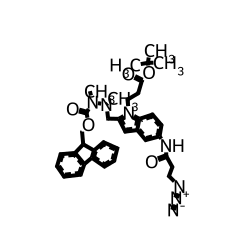 CN(Cc1cc2cc(NC(=O)CCN=[N+]=[N-])ccc2n1CCC(=O)OC(C)(C)C)N(C)C(=O)OCC1c2ccccc2-c2ccccc21